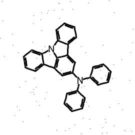 c1ccc(N(c2ccccc2)c2cc3c4ccccc4n4c5ccccc5c(c2)c34)cc1